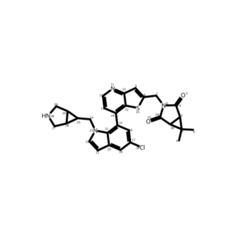 CC1(C)C2C(=O)N(Cc3cc4nccc(-c5cc(Cl)cc6ccn(CC7C8CNCC87)c56)c4s3)C(=O)C21